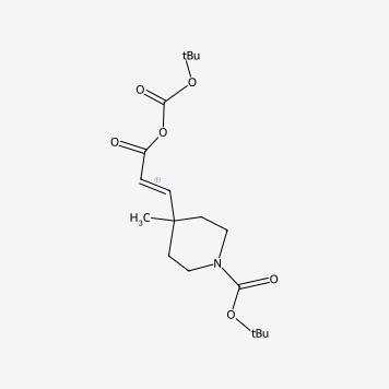 CC1(/C=C/C(=O)OC(=O)OC(C)(C)C)CCN(C(=O)OC(C)(C)C)CC1